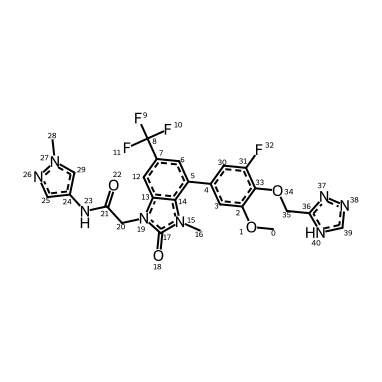 COc1cc(-c2cc(C(F)(F)F)cc3c2n(C)c(=O)n3CC(=O)Nc2cnn(C)c2)cc(F)c1OCc1nnc[nH]1